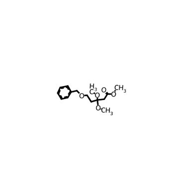 COC(=O)CC(CCOCc1ccccc1)(OC)OC